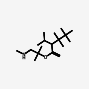 C=C(OC(C)(C)CNC)C(C(C)C)C(C)(C)C(C)(C)C